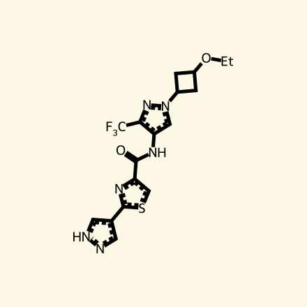 CCOC1CC(n2cc(NC(=O)c3csc(-c4cn[nH]c4)n3)c(C(F)(F)F)n2)C1